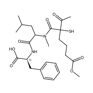 COC(=O)CCCC(S)(C(C)=O)C(=O)N(I)C(CC(C)C)C(=O)N[C@@H](Cc1ccccc1)C(=O)O